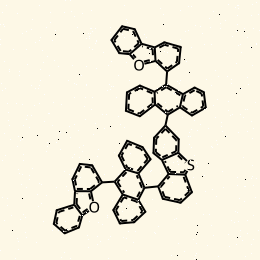 c1ccc2c(c1)oc1c(-c3c4ccccc4c(-c4ccc5c(c4)sc4cccc(-c6c7ccccc7c(-c7cccc8c7oc7ccccc78)c7ccccc67)c45)c4ccccc34)cccc12